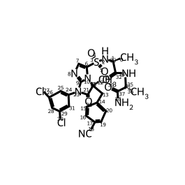 C[C@H](NS(=O)(=O)c1cnc2n1[C@](C)(Cc1ccc(C#N)cc1)C(=O)N2c1cc(Cl)cc(Cl)c1)C(=O)N[C@H](C)C(N)=O